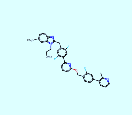 COCCn1c(Cc2cc(F)c(-c3cccc(OCc4ccc(-c5cccnc5C)cc4F)n3)cc2F)nc2ccc(C(=O)O)cc21